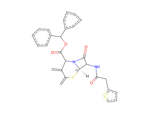 C=C1S[C@@H]2C(NC(=O)Cc3cccs3)C(=O)N2C(C(=O)OC(c2ccccc2)c2ccccc2)C1=C